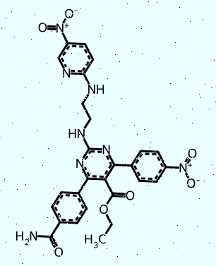 CCOC(=O)c1c(-c2ccc(C(N)=O)cc2)nc(NCCNc2ccc([N+](=O)[O-])cn2)nc1-c1ccc([N+](=O)[O-])cc1